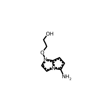 Nc1ccc2n(OCCO)ccn12